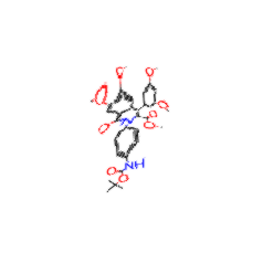 COC(=O)c1c(-c2cc(OC)cc(OC)c2)c2cc(OC)c(OC)cc2c(=O)n1-c1ccc(NC(=O)OC(C)(C)C)cc1